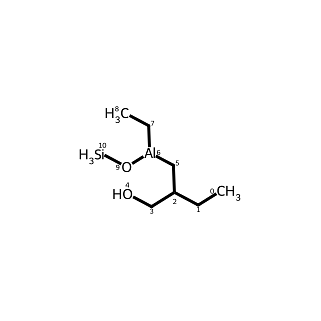 CCC(CO)[CH2][Al]([CH2]C)[O][SiH3]